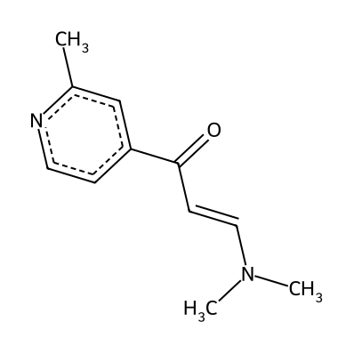 Cc1cc(C(=O)C=CN(C)C)ccn1